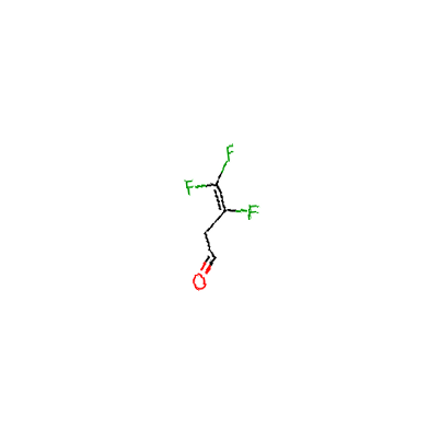 O=CCC(F)=C(F)F